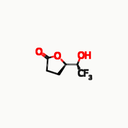 O=C1CC[C@H]([C@@H](O)C(F)(F)F)O1